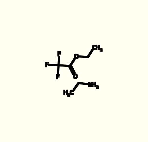 CCN.CCOC(=O)C(F)(F)F